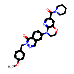 COc1ccc(Cn2ncc3cc(N4CCOc5cc(C(=O)N6CCCCC6)cnc54)ccc3c2=O)cc1